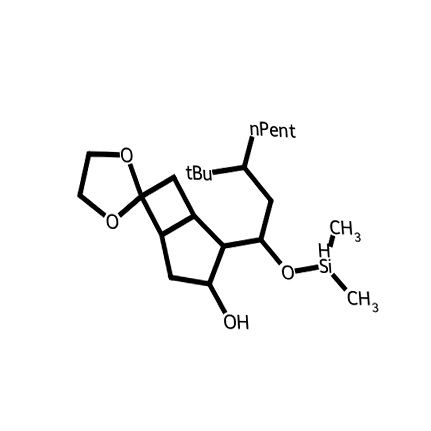 CCCCCC(CC(O[SiH](C)C)C1C(O)CC2C1CC21OCCO1)C(C)(C)C